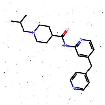 CC(C)CN1CCC(C(=O)Nc2cc(Cc3ccncc3)ccn2)CC1